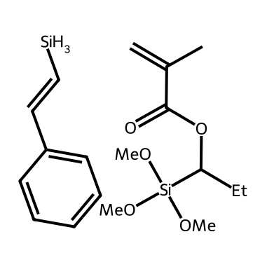 C=C(C)C(=O)OC(CC)[Si](OC)(OC)OC.[SiH3]C=Cc1ccccc1